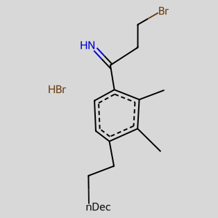 Br.CCCCCCCCCCCCc1ccc(C(=N)CCBr)c(C)c1C